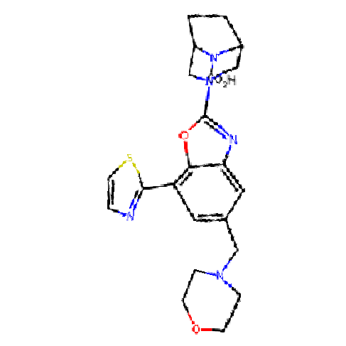 O=C(O)N1C2CCC1CN(c1nc3cc(CN4CCOCC4)cc(-c4nccs4)c3o1)C2